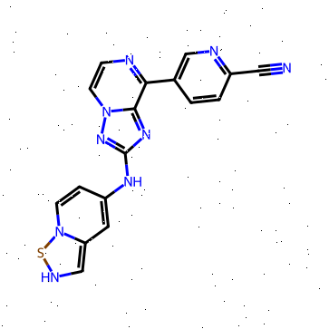 N#Cc1ccc(-c2nccn3nc(NC4=CC5=CNSN5C=C4)nc23)cn1